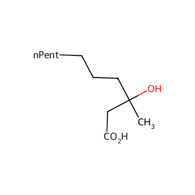 CCCCCCCCC(C)(O)CC(=O)O